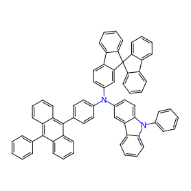 c1ccc(-c2c3ccccc3c(-c3ccc(N(c4ccc5c(c4)C4(c6ccccc6-c6ccccc64)c4ccccc4-5)c4ccc5c(c4)c4ccccc4n5-c4ccccc4)cc3)c3ccccc23)cc1